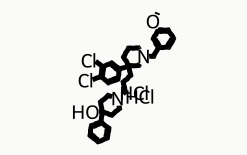 COc1cccc(CN2CCCC(CCCN3CCC(O)(c4ccccc4)CC3)(c3ccc(Cl)c(Cl)c3)C2)c1.Cl.Cl